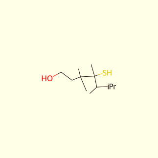 CC(C)C(C)C(C)(S)C(C)(C)CCO